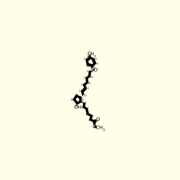 COC(=O)CCCCCC[C@@H]1[C@@H](C/C=C/CCCCC[S+]([O-])c2ccc(C)cc2)CC[C@H]1O